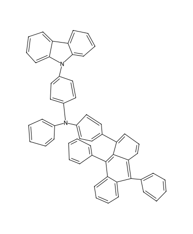 c1ccc(-c2c3ccccc3c(-c3ccccc3)c3c(-c4ccc(N(c5ccccc5)c5ccc(-n6c7ccccc7c7ccccc76)cc5)cc4)cccc23)cc1